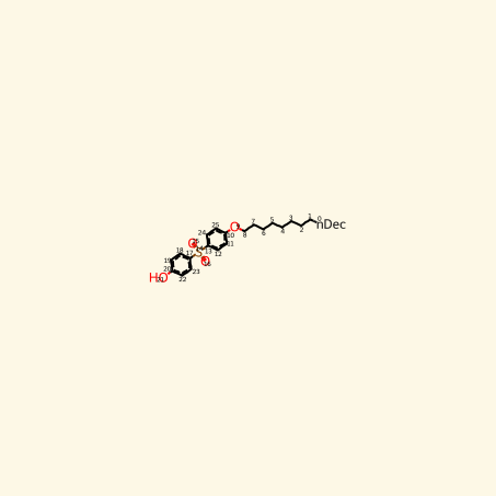 CCCCCCCCCCCCCCCCCCOc1ccc(S(=O)(=O)c2ccc(O)cc2)cc1